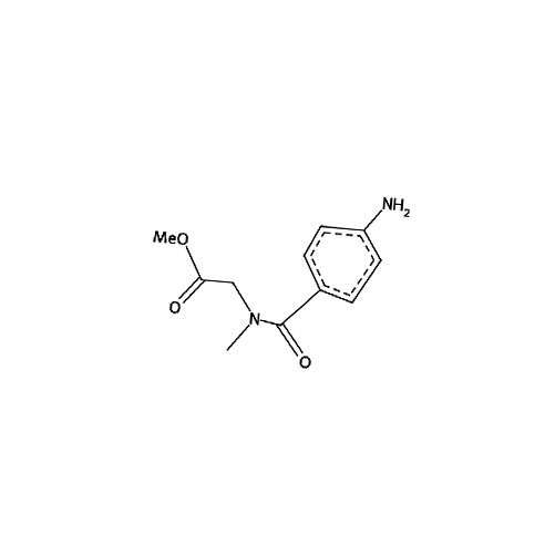 COC(=O)CN(C)C(=O)c1ccc(N)cc1